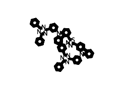 c1ccc(-c2nc(-c3ccccc3)nc(-c3cccc(-n4c5ccccc5c5ccc(-c6nnc(-c7cccc8c7c7ccccc7n8-c7cccc(-c8nc(-c9ccccc9)nc(-c9ccccc9)n8)c7)s6)cc54)c3)n2)cc1